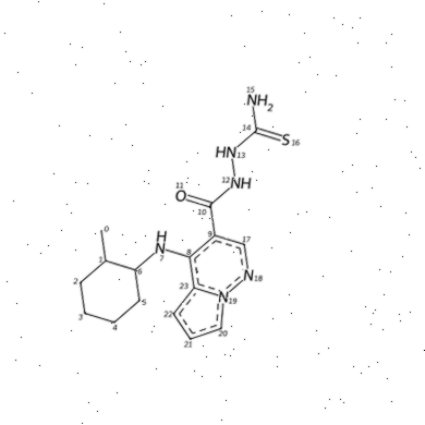 CC1CCCCC1Nc1c(C(=O)NNC(N)=S)cnn2cccc12